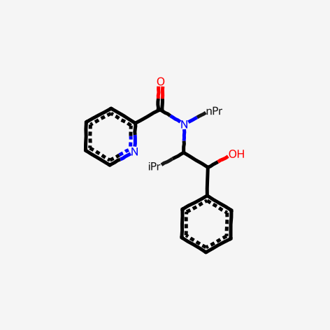 CCCN(C(=O)c1ccccn1)C(C(C)C)C(O)c1ccccc1